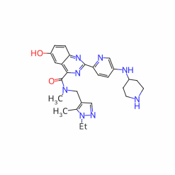 CCn1ncc(CN(C)C(=O)c2nc(-c3ccc(NC4CCNCC4)cn3)nc3ccc(O)cc23)c1C